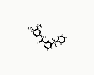 Cc1cc(NC(=O)c2cccc(S(=O)(=O)N3CCCCC3)c2)ccc1P